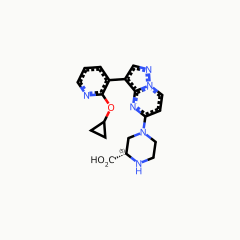 O=C(O)[C@@H]1CN(c2ccn3ncc(-c4cccnc4OC4CC4)c3n2)CCN1